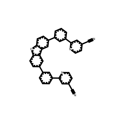 N#Cc1ccnc(-c2cccc(-c3ccc4oc5ccc(-c6cccc(-c7cc(C#N)ccn7)c6)cc5c4c3)c2)c1